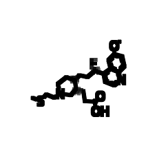 COc1ccc2nccc([C@H](F)CC[C@@H]3CCN(CCSC)C[C@H]3CCC(=O)O)c2c1